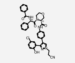 N#CCCn1cc(-c2ccc(NC(=O)[C@@H]3COCCN3C(=O)[C@H](NC(=O)c3ccccc3)c3ccccc3)cc2)c(-c2cc(Cl)ccc2O)n1